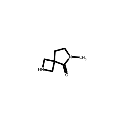 CN1CCC2(CNC2)C1=O